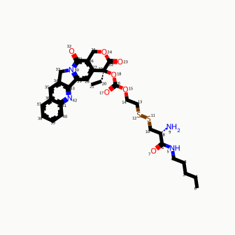 CCCCCNC(=O)[C@@H](N)CSSCCOC(=O)O[C@]1(CC)C(=O)OCc2c1cc1n(c2=O)Cc2cc3ccccc3nc2-1